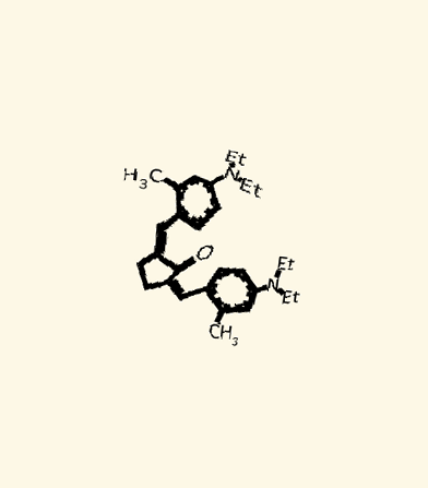 CCN(CC)c1ccc(C=C2CCC(=Cc3ccc(N(CC)CC)cc3C)C2=O)c(C)c1